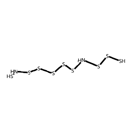 SNSSSSSNSSS